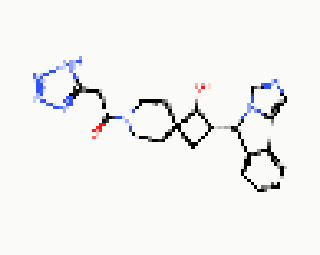 O=C(Cc1nnn[nH]1)N1CCC2(CC1)C[C@@H](C1c3ccccc3-c3cncn31)[C@H]2O